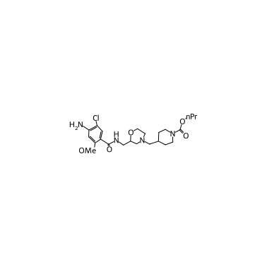 CCCOC(=O)N1CCC(CN2CCOC(CNC(=O)c3cc(Cl)c(N)cc3OC)C2)CC1